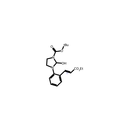 CCOC(=O)/C=C/c1ccccc1N1CCN(C(=O)OC(C)(C)C)C1O